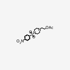 CC(=O)OCCN1CCN(S(=O)(=O)c2ccc([N+](=O)[O-])cc2)CC1